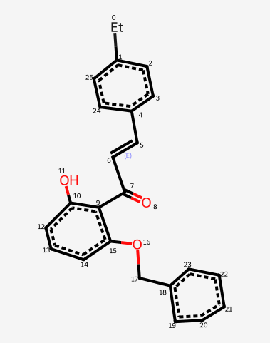 CCc1ccc(/C=C/C(=O)c2c(O)cccc2OCc2ccccc2)cc1